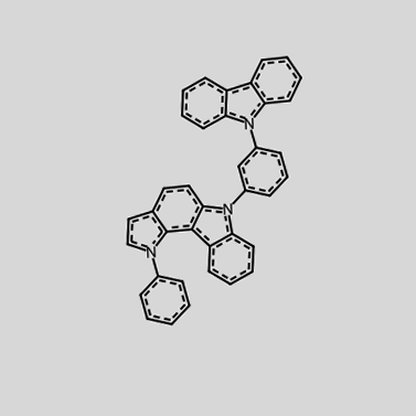 c1ccc(-n2ccc3ccc4c(c5ccccc5n4-c4cccc(-n5c6ccccc6c6ccccc65)c4)c32)cc1